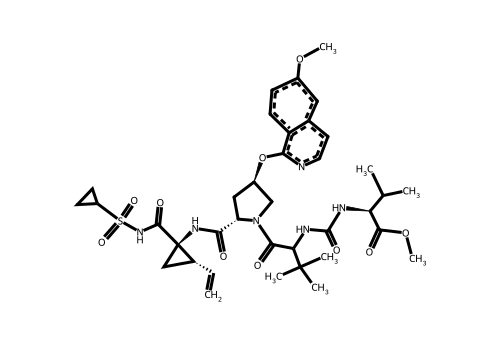 C=C[C@@H]1C[C@]1(NC(=O)[C@@H]1C[C@@H](Oc2nccc3cc(OC)ccc23)CN1C(=O)C(NC(=O)N[C@H](C(=O)OC)C(C)C)C(C)(C)C)C(=O)NS(=O)(=O)C1CC1